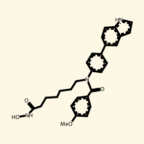 COc1ccc(C(=O)N(CCCCCCC(=O)NO)c2ccc(-c3ccc4[nH]ccc4c3)cc2)cc1